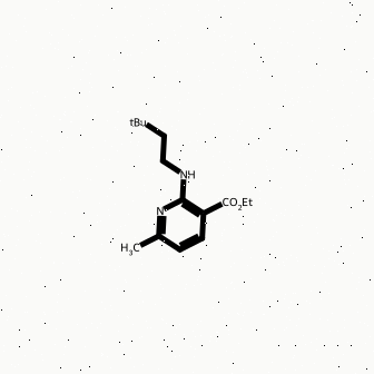 CCOC(=O)c1ccc(C)nc1NCCC(C)(C)C